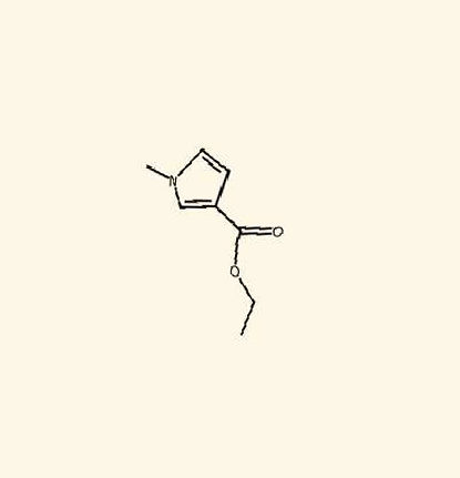 CCOC(=O)c1ccn(C)c1